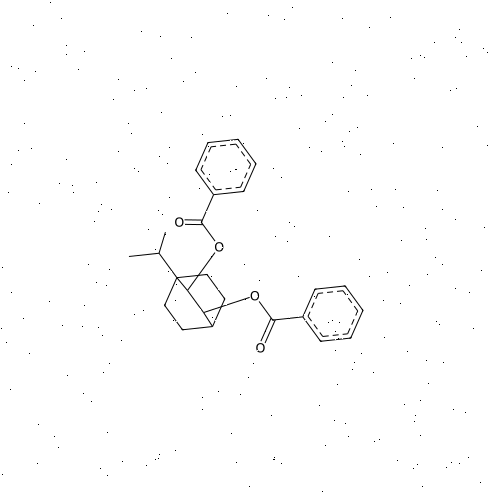 CC(C)C12CCC(CC1)C(OC(=O)c1ccccc1)C2OC(=O)c1ccccc1